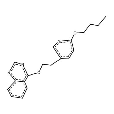 CCCCOc1ccc(CCOc2ncnc3ccccc23)cn1